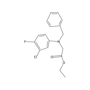 CCOC(=O)CN(Cc1ccccc1)c1ccc(F)c(Cl)c1